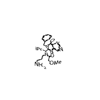 COCC(=O)N(CCCN)C(c1nc2cncnc2c(=O)n1Cc1ccccc1)C(C)C